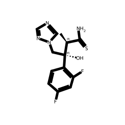 C[C@@H](C(N)=S)[C@](O)(Cn1cncn1)c1ccc(F)cc1F